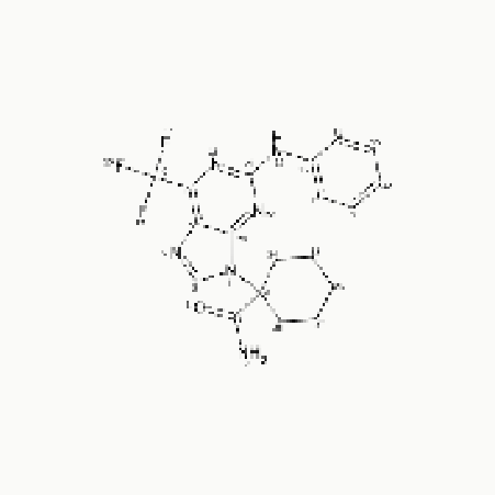 NC(=O)C1(n2cnc3c(C(F)(F)F)nc(Nc4ccccc4)nc32)CCCCC1